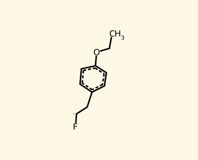 CCOc1ccc(C[CH]F)cc1